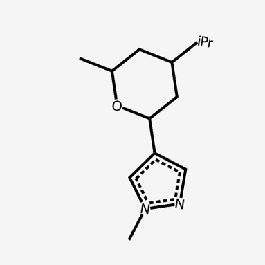 CC1CC(C(C)C)CC(c2cnn(C)c2)O1